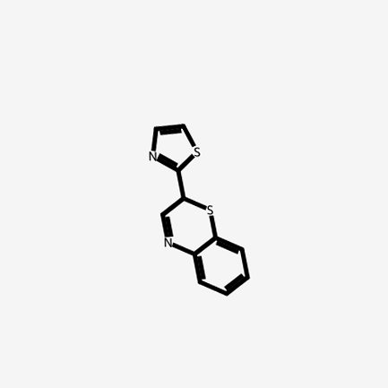 C1=Nc2ccccc2SC1c1nccs1